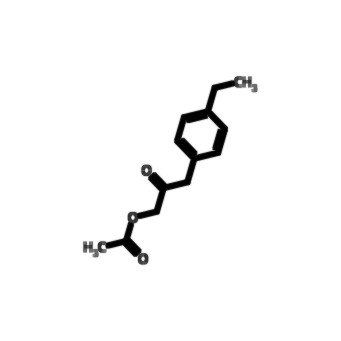 CCc1ccc(CC(=O)COC(C)=O)cc1